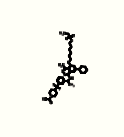 CCS(=O)(=O)OCCCCCCOc1cc(N2CCOCC2)cc2c(NC(C)c3cccc(C(F)(F)C4CCN(C(=O)O)CC4)c3)nnc(C)c12